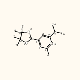 Cc1cc(B2OC(C)(C)C(C)(C)O2)cc(C(F)F)n1